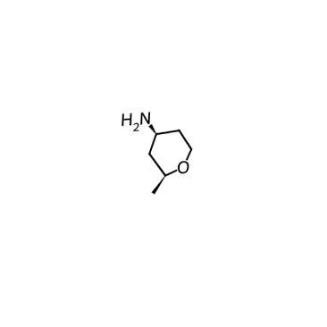 C[C@H]1C[C@@H](N)CCO1